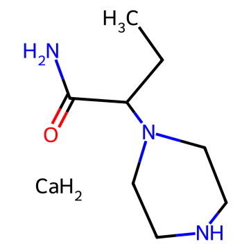 CCC(C(N)=O)N1CCNCC1.[CaH2]